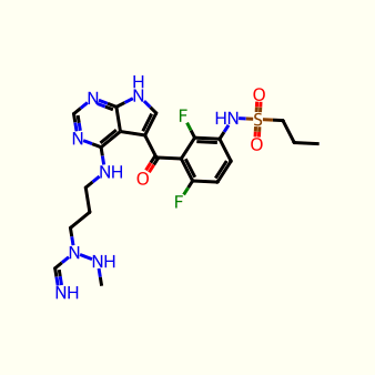 CCCS(=O)(=O)Nc1ccc(F)c(C(=O)c2c[nH]c3ncnc(NCCCN(C=N)NC)c23)c1F